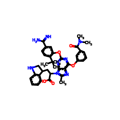 Cc1nc2c(Oc3cccc(C(=O)N(C)C)c3)nc(Oc3cc(C(=N)N)ccc3C(C)(C)C)nc2n1C(CC1CNc2ccccc21)C(=O)O